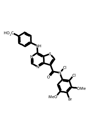 COc1cc(N(Cl)C(=O)c2csc3c(Nc4ccc(C(=O)O)cc4)ncnc23)c(Cl)c(OC)c1Br